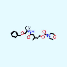 CC(CCOC(=O)N1CCOCC1)CC(=O)NC(C#N)COCc1ccccc1